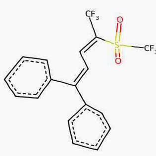 O=S(=O)(/C(=C\C=C(c1ccccc1)c1ccccc1)C(F)(F)F)C(F)(F)F